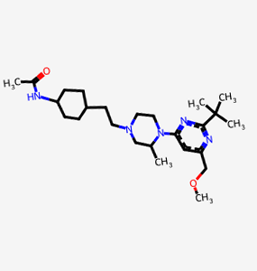 COCc1cc(N2CCN(CCC3CCC(NC(C)=O)CC3)CC2C)nc(C(C)(C)C)n1